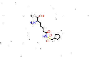 CC(O)C(N)CCCCC(=O)NS(=O)(=O)CC1CCCC1